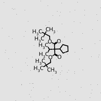 CC(C)C(C(=O)OCC(C)(C)C)(C(=O)OCC(C)(C)C)C1CCCC1